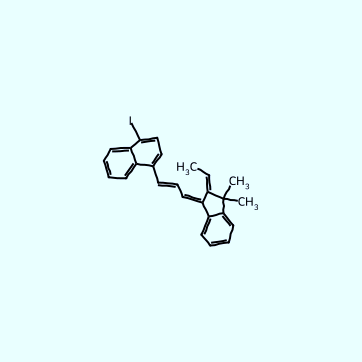 C\C=C1/C(=C\C=C\c2ccc(I)c3ccccc23)c2ccccc2C1(C)C